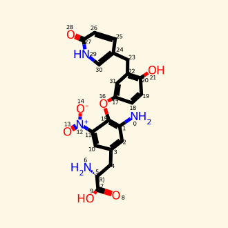 Nc1cc(C[C@@H](N)C(=O)O)cc([N+](=O)[O-])c1Oc1ccc(O)c(Cc2ccc(=O)[nH]c2)c1